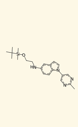 Cc1ncc(-n2ccc3cc(NCCO[Si](C)(C)C(C)(C)C)ccc32)cn1